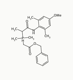 COc1cc(C)c(NC(=O)C(C)[PH](C)(C)CC(=O)OCc2ccccc2)c(C)c1